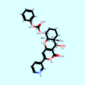 C[C@@]12Oc3cc(-c4cccnc4)oc(=O)c3[C@H](O)[C@H]1CCC[C@H]2OC(=O)Oc1ccccc1